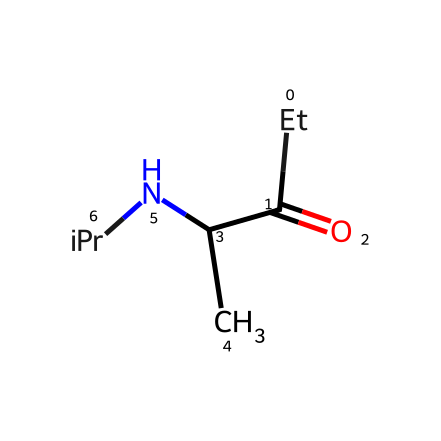 CCC(=O)C(C)NC(C)C